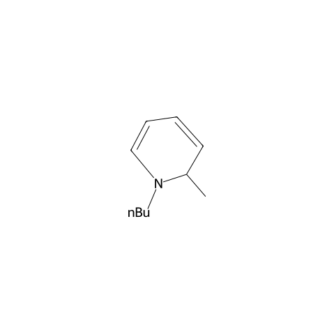 CCCCN1C=CC=CC1C